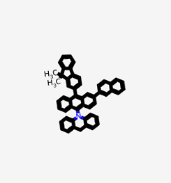 CC1(C)c2ccccc2-c2ccc(-c3c4ccccc4c(N4c5ccccc5Cc5ccccc54)c4ccc(-c5ccc6ccccc6c5)cc34)cc21